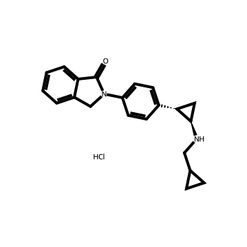 Cl.O=C1c2ccccc2CN1c1ccc([C@@H]2C[C@H]2NCC2CC2)cc1